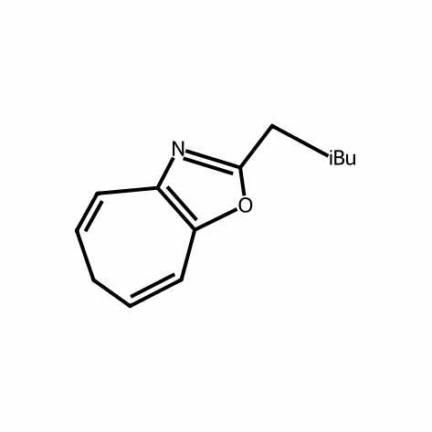 CCC(C)Cc1nc2c(o1)C=CCC=C2